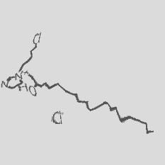 CCCCCCCCCCCCCCC=CCC(O)C[N+]1(CCCCCl)C=NCC1.[Cl-]